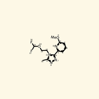 COc1cccc(-c2nnc(C)n2CCOC(F)F)n1